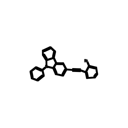 Brc1ccccc1C#Cc1ccc2c(c1)c1ccccc1n2-c1ccccc1